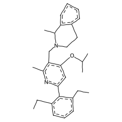 CCc1cccc(CC)c1-c1cc(OC(C)C)c(CN2CCc3ccccc3C2C)c(C)n1